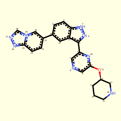 c1cc2[nH]nc(-c3cncc(O[C@@H]4CCCNC4)n3)c2cc1-c1ccc2nncn2c1